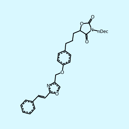 CCCCCCCCCCN1C(=O)OC(CCCc2ccc(OCc3coc(C=Cc4ccccc4)n3)cc2)C1=O